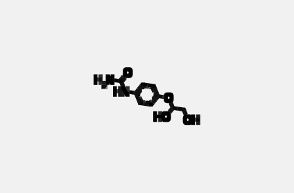 NC(=O)Nc1ccc(OC(O)CO)cc1